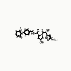 CC(C)[C@@H](C(=O)N1C[C@H](O)C[C@H]1C(=O)NCc1ccc(-c2c(F)cccc2F)cc1)n1cc(C(C)(C)C)nn1